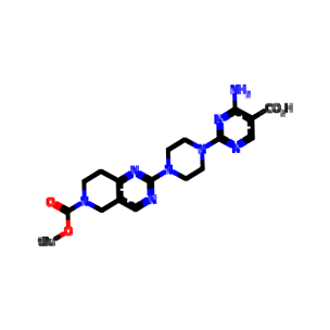 CC(C)(C)OC(=O)N1CCc2nc(N3CCN(c4ncc(C(=O)O)c(N)n4)CC3)ncc2C1